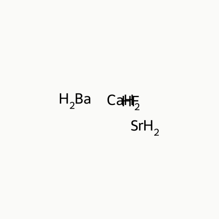 F.[BaH2].[CaH2].[SrH2]